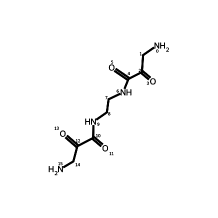 NCC(=O)C(=O)NCCNC(=O)C(=O)CN